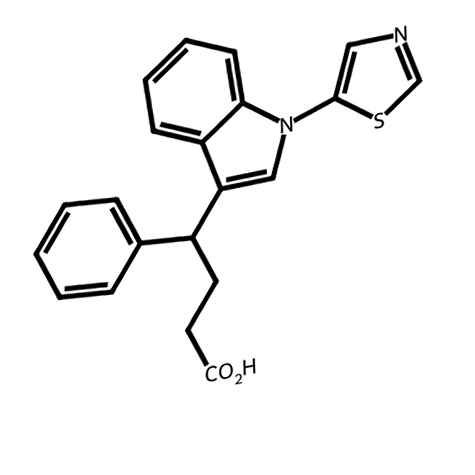 O=C(O)CCC(c1ccccc1)c1cn(-c2cncs2)c2ccccc12